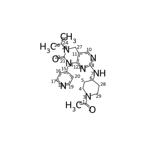 CC(=O)N1CCC(Nc2ncc3c(n2)N(c2ccncc2)C(=O)N(C(C)C)C3)CC1